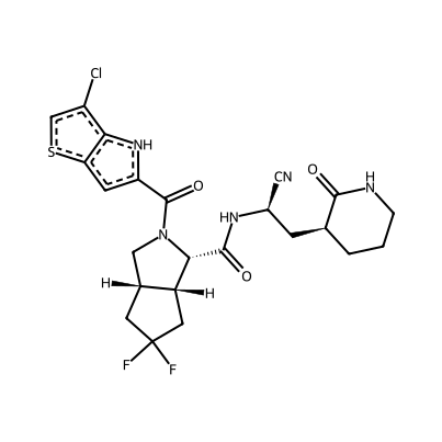 N#C[C@@H](C[C@@H]1CCCNC1=O)NC(=O)[C@@H]1[C@@H]2CC(F)(F)C[C@@H]2CN1C(=O)c1cc2scc(Cl)c2[nH]1